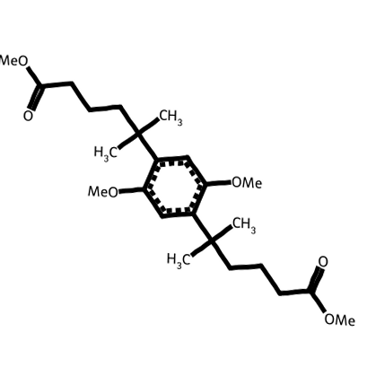 COC(=O)CCCC(C)(C)c1cc(OC)c(C(C)(C)CCCC(=O)OC)cc1OC